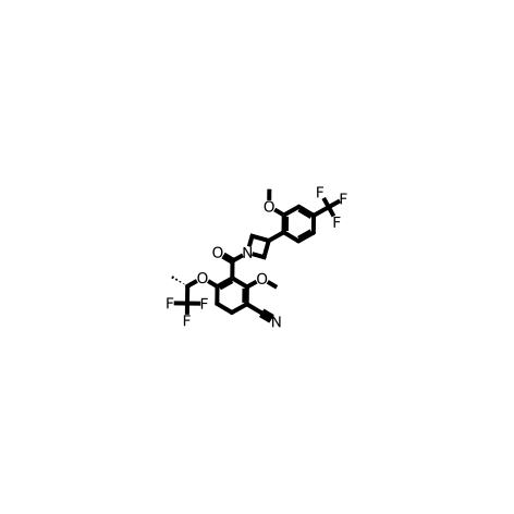 COC1=C(C#N)CCC(O[C@@H](C)C(F)(F)F)=C1C(=O)N1CC(c2ccc(C(F)(F)F)cc2OC)C1